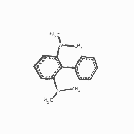 CN(C)c1cccc(N(C)C)c1-c1ccccc1